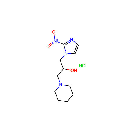 Cl.O=[N+]([O-])c1nccn1CC(O)CN1CCCCC1